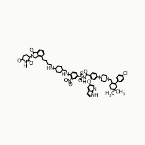 CC1(C)CCC(CN2CCN(c3ccc(C(=O)NS(=O)(=O)c4ccc(NCC5CCC(NCCCCc6cccc7c6CN(C6CCC(=O)NC6=O)C7=O)CC5)c([N+](=O)[O-])c4)c(Oc4cnc5[nH]ccc5c4)c3)CC2)=C(c2ccc(Cl)cc2)C1